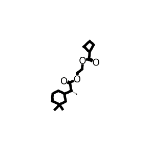 C[C@@H](C(=O)OCCOC(=O)C1CCC1)C1CCCC(C)(C)C1